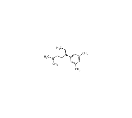 CCN(CCN(C)C)c1cc(C)cc(C)c1